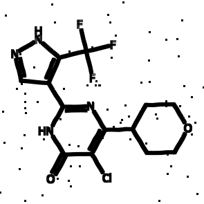 O=c1[nH]c(-c2cn[nH]c2C(F)(F)F)nc(C2CCOCC2)c1Cl